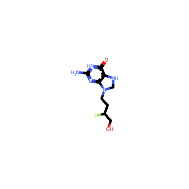 Nc1nc2c(c(=O)[nH]1)NCN2CCC(F)CO